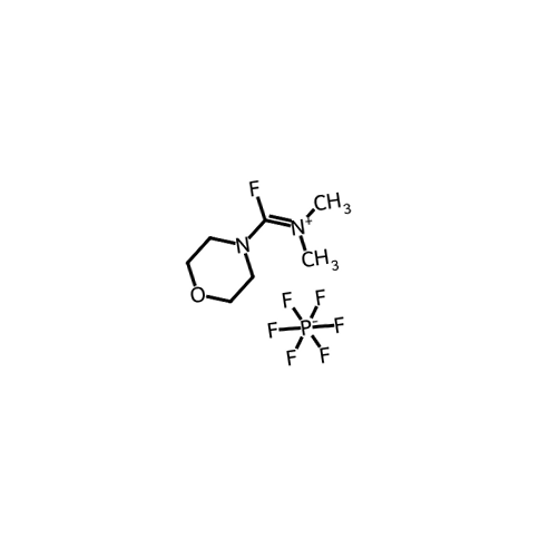 C[N+](C)=C(F)N1CCOCC1.F[P-](F)(F)(F)(F)F